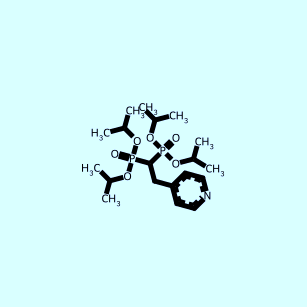 CC(C)OP(=O)(OC(C)C)C(Cc1ccncc1)P(=O)(OC(C)C)OC(C)C